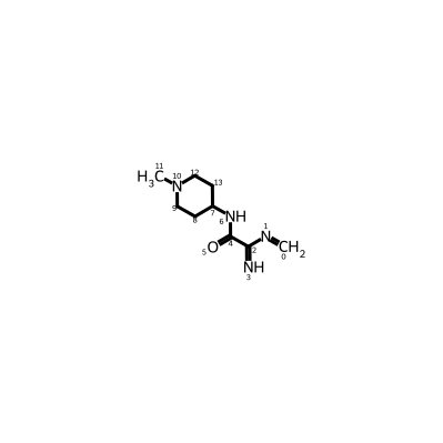 C=NC(=N)C(=O)NC1CCN(C)CC1